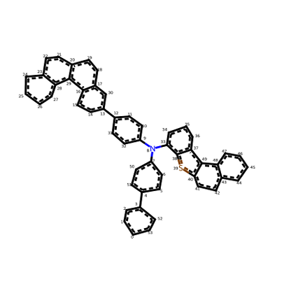 c1ccc(-c2ccc(N(c3ccc(-c4ccc5c(ccc6ccc7ccccc7c65)c4)cc3)c3cccc4c3sc3ccc5ccccc5c34)cc2)cc1